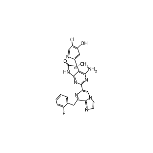 C[C@@]1(c2cc(O)c(Cl)cn2)C(=O)Nc2nc(-c3cn4ccnc4c(Cc4ccccc4F)n3)nc(N)c21